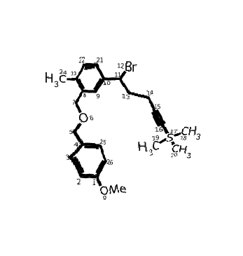 COc1ccc(COCc2cc(C(Br)CCC#CS(C)(C)C)ccc2C)cc1